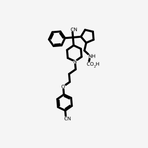 N#Cc1ccc(OCCCN2CCC(C(C#N)(c3ccccc3)C3CCCC3CNC(=O)O)CC2)cc1